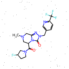 CN1Cc2nn(Cc3ccc(C(F)(F)F)nc3)c(=O)n2C(C(=O)N2CCC(F)C2)C1